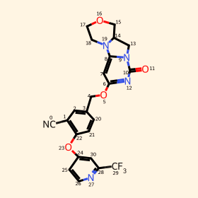 N#Cc1cc(COc2cc3n(c(=O)n2)CC2COCCN32)ccc1Oc1ccnc(C(F)(F)F)c1